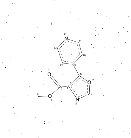 COC(=O)c1ncoc1-c1ccncc1